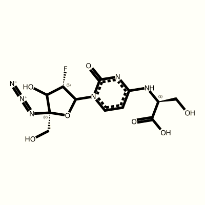 [N-]=[N+]=N[C@]1(CO)OC(n2ccc(N[C@@H](CO)C(=O)O)nc2=O)[C@@H](F)C1O